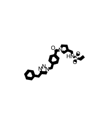 C=CS(=O)(=O)NCC1CCN(C(=O)c2ccc(Cn3cc(Cc4ccccc4)nn3)cc2)C1